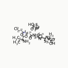 CC(C)[C@H](N)C(=O)O[C@H](/C=C/CCCl)CC(=O)NCc1nc(C2=N[C@](C)(C(=O)O)CS2)cs1.O=C(O)C(F)(F)F